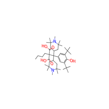 CCCCC(C(=O)O)(C(=O)O)C(c1cc(C(C)(C)C)c(O)c(C(C)(C)C)c1)(C1CC(C)(C)N(C)C(C)(C)C1)C1CC(C)(C)N(C)C(C)(C)C1